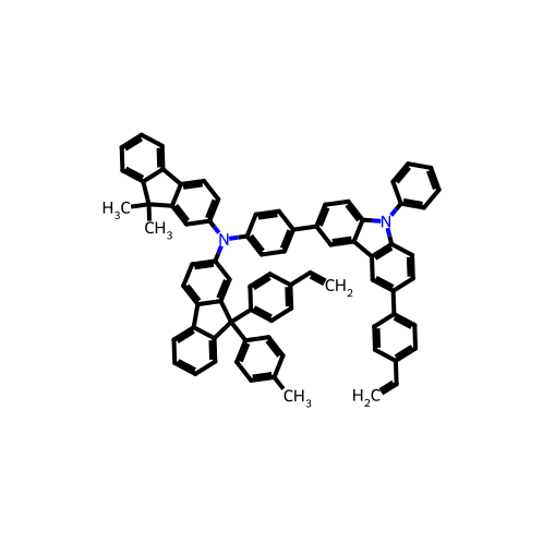 C=Cc1ccc(-c2ccc3c(c2)c2cc(-c4ccc(N(c5ccc6c(c5)C(C)(C)c5ccccc5-6)c5ccc6c(c5)C(c5ccc(C)cc5)(c5ccc(C=C)cc5)c5ccccc5-6)cc4)ccc2n3-c2ccccc2)cc1